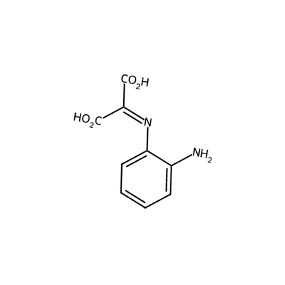 Nc1ccccc1N=C(C(=O)O)C(=O)O